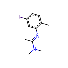 C/C(=N\c1cc(I)ccc1C)N(C)C